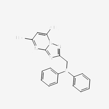 Cc1cc(C)n2nc(CP(c3ccccc3)c3ccccc3)nc2n1